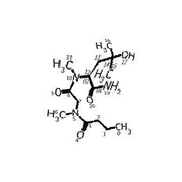 CCCC(=O)N(C)CC(=O)N(C)[C@@H](CC(C)(C)O)C(N)=O